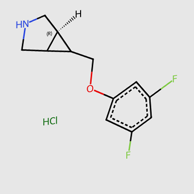 Cl.Fc1cc(F)cc(OCC2C3CNC[C@H]32)c1